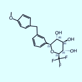 COc1ccc(Cc2cccc([C@@H]3O[C@H](C(F)(F)F)[C@@H](O)[C@H](O)[C@H]3O)c2)cc1